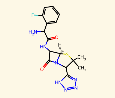 CC1(C)S[C@@H]2C(NC(=O)C(N)c3ccccc3F)C(=O)N2C1c1nnn[nH]1